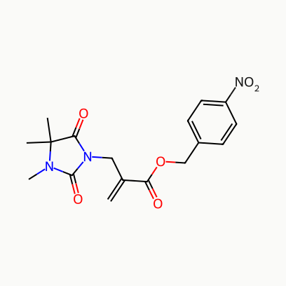 C=C(CN1C(=O)N(C)C(C)(C)C1=O)C(=O)OCc1ccc([N+](=O)[O-])cc1